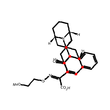 COCCO/N=C(\C(=O)O)c1nc2ccccc2n(C2C[C@H]3CCC[C@@H](C2)N3C2C[C@H]3CCC[C@@H](C2)C3)c1=O